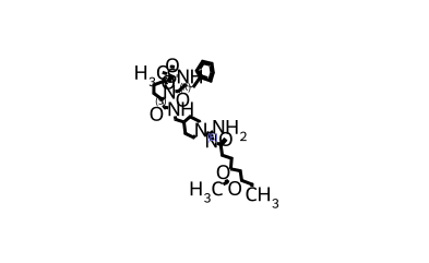 CCCCC(CCC(=O)/N=C(\N)N1CCC(CNC(=O)[C@@H]2CCCN2C(=O)[C@@H](Cc2ccccc2)NS(C)(=O)=O)CC1)OC(C)=O